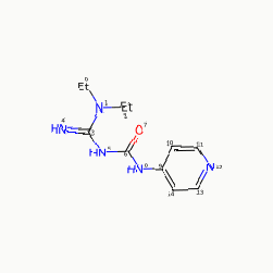 CCN(CC)C(=N)NC(=O)Nc1ccncc1